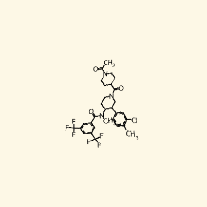 CC(=O)N1CCC(C(=O)N2CCC(N(C)C(=O)c3cc(C(F)(F)F)cc(C(F)(F)F)c3)C(c3ccc(C)c(Cl)c3)C2)CC1